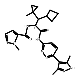 Cc1n[nH]c(C)c1-c1ccc(NC(=O)[C@@H](NC(=O)c2ccnn2C)C(C2CCC2)C2(C)CC2)nn1